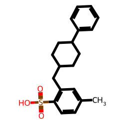 Cc1ccc(S(=O)(=O)O)c(CC2CCC(c3ccccc3)CC2)c1